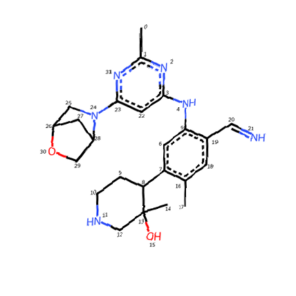 Cc1nc(Nc2cc(C3CCNCC3(C)O)c(C)cc2C=N)cc(N2CC3CC2CO3)n1